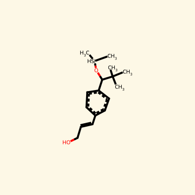 C[SiH](C)OC(c1ccc(/C=C/CO)cc1)C(C)(C)C